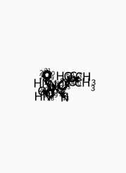 CC(C)(C)OC(=O)N1CC[C@](CC#N)(n2nc(Nc3ccccc3)c3c(=O)[nH]ccc32)[C@H](F)C1